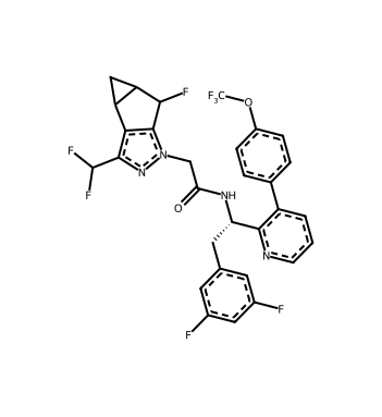 O=C(Cn1nc(C(F)F)c2c1C(F)C1CC21)N[C@@H](Cc1cc(F)cc(F)c1)c1ncccc1-c1ccc(OC(F)(F)F)cc1